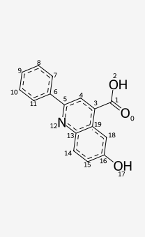 O=C(O)c1cc(-c2ccccc2)nc2ccc(O)cc12